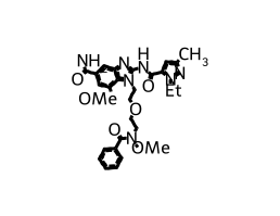 CCn1nc(C)cc1C(=O)Nc1nc2cc(C(N)=O)cc(OC)c2n1CCOCCN(OC)C(=O)c1ccccc1